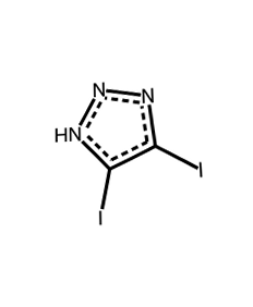 Ic1nn[nH]c1I